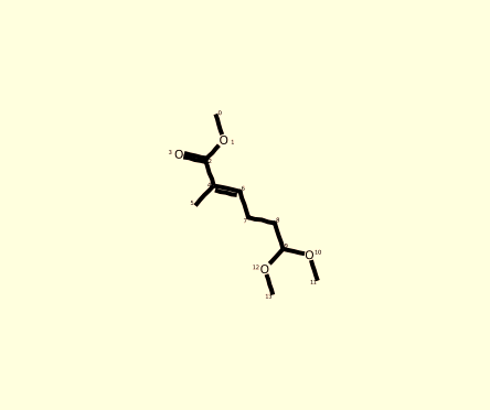 COC(=O)C(C)=CCCC(OC)OC